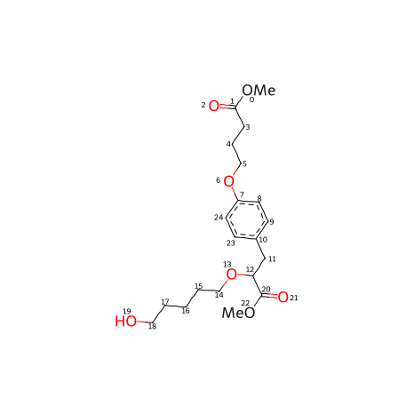 COC(=O)CCCOc1ccc(CC(OCCCCCO)C(=O)OC)cc1